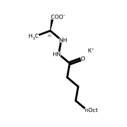 CCCCCCCCCCCC(=O)NN[C@@H](C)C(=O)[O-].[K+]